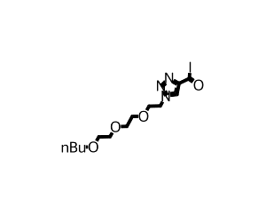 CCCCOCCOCCOCCn1cc(C(=O)I)nn1